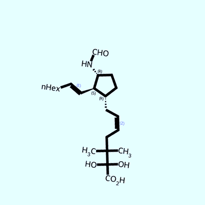 CCCCCC/C=C/[C@@H]1[C@@H](C/C=C\CC(C)(C)C(O)(O)C(=O)O)CC[C@H]1NC=O